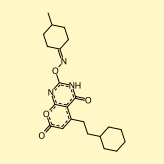 CC1CCC(=NOc2nc3oc(=O)cc(CCC4CCCCC4)c3c(=O)[nH]2)CC1